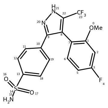 COc1cc(F)ccc1-c1c(-c2ccc(S(N)(=O)=O)cc2)n[nH]c1C(F)(F)F